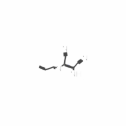 C=CC=N/C(C#N)=C(\N)C#N